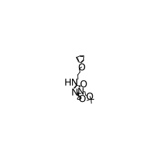 CSc1ncc(NCCCCOc2ccccc2)c(=O)n1CC(=O)OC(C)(C)C